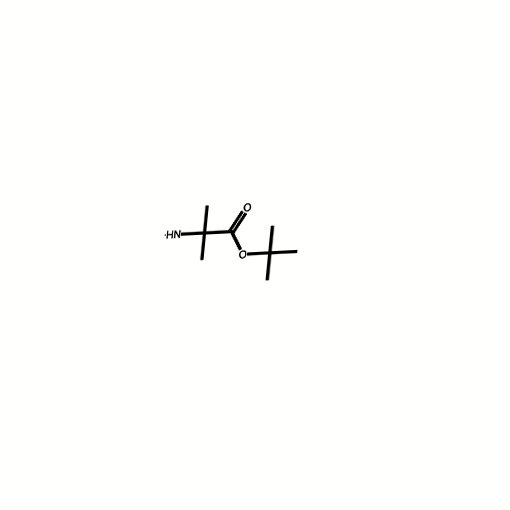 CC(C)(C)OC(=O)C(C)(C)[NH]